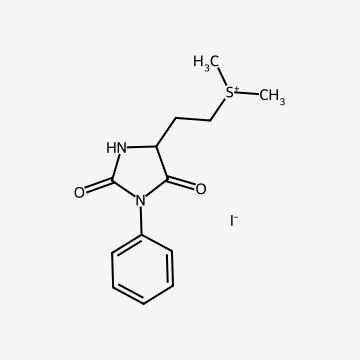 C[S+](C)CCC1NC(=O)N(c2ccccc2)C1=O.[I-]